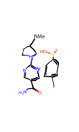 CNC1CCN(c2ncc(C(N)=O)cn2)C1.Cc1ccc(S(=O)O)cc1